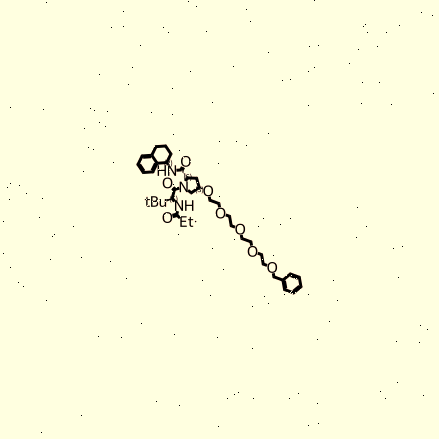 C[CH]C(=O)N[C@H](C(=O)N1C[C@@H](OCCOCCOCCOCCOCc2ccccc2)C[C@H]1C(=O)N[C@@H]1CCCc2ccccc21)C(C)(C)C